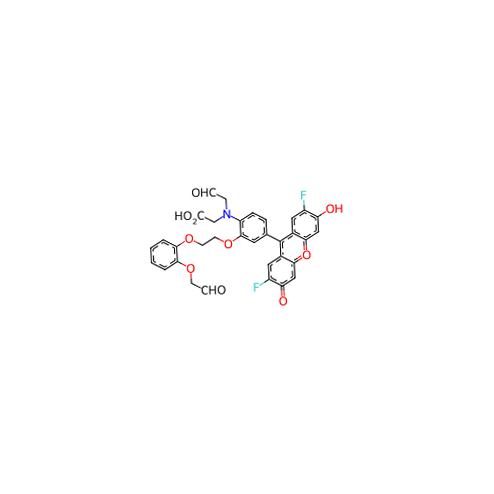 O=CCOc1ccccc1OCCOc1cc(-c2c3cc(F)c(=O)cc-3oc3cc(O)c(F)cc23)ccc1N(CC=O)CC(=O)O